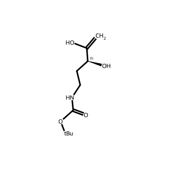 C=C(O)[C@@H](O)CCNC(=O)OC(C)(C)C